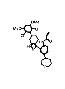 C=CC(=O)Nc1ccc(C2CCCOCC2)cc1-c1n[nH]c2c1CC[C@H](c1c(Cl)c(OC)cc(OC)c1Cl)C2